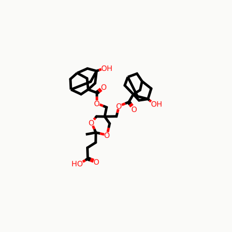 CC1(CCC(=O)O)OCC(COC(=O)C23CC4CC(CC(O)(C4)C2)C3)(COC(=O)C23CC4CC(CC(O)(C4)C2)C3)CO1